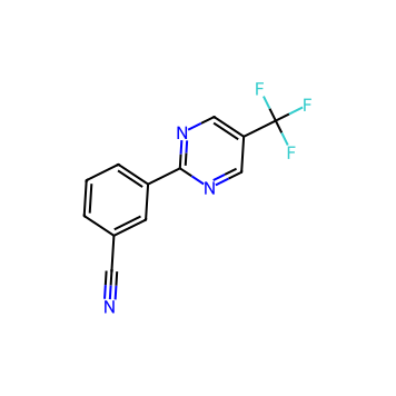 N#Cc1cccc(-c2ncc(C(F)(F)F)cn2)c1